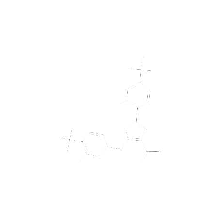 Cc1nc(Nc2sc(-c3ccc(C(C)(C)O)cc3F)nc2C(N)=O)ccc1C(C)(C)O